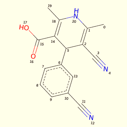 CC1=C(C#N)C(c2cccc(C#N)c2)C(C(=O)O)=C(C)N1